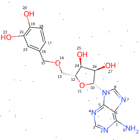 Nc1ncnc2c1ncn2[C@@H]1O[C@H](COCc2ccc(O)c(O)c2)[C@@H](O)[C@H]1O